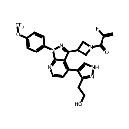 C=C(F)C(=O)N1CC(c2nn(-c3ccc(OC(F)(F)F)cc3)c3nccc(-c4c[nH]nc4CCO)c23)C1